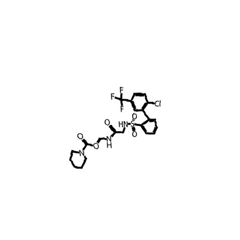 O=C(CNS(=O)(=O)c1ccccc1-c1cc(C(F)(F)F)ccc1Cl)NCOC(=O)N1CCCCC1